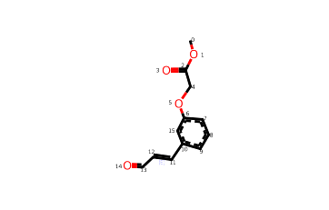 COC(=O)COc1cccc(/C=C/C=O)c1